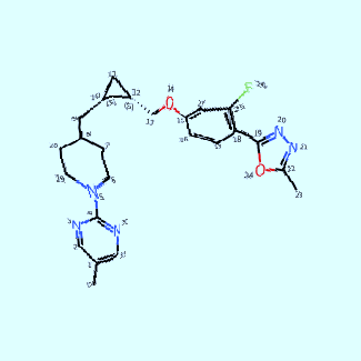 Cc1cnc(N2CCC(C[C@H]3C[C@@H]3COc3ccc(-c4nnc(C)o4)c(F)c3)CC2)nc1